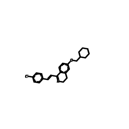 Clc1ccc(C=CC2=NCCc3cc(OCC4CCCCC4)ccc32)cc1